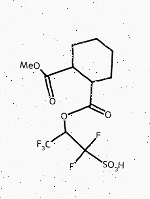 COC(=O)C1CCCCC1C(=O)OC(C(F)(F)F)C(F)(F)S(=O)(=O)O